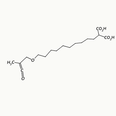 CC(=C=O)COCCCCCCCCCCC(C(=O)O)C(=O)O